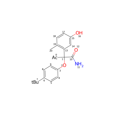 CC(=O)C(Oc1ccc(C(C)(C)C)cc1)(C(N)=O)c1cc(O)ccc1C